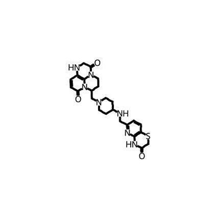 O=C1CSc2ccc(CNC3CCN(CC4CCN5C(=O)CNc6ccc(=O)n4c65)CC3)nc2N1